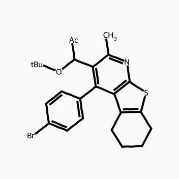 CC(=O)C(OC(C)(C)C)c1c(C)nc2sc3c(c2c1-c1ccc(Br)cc1)CCCC3